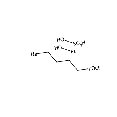 CCCCCCCCCCC[CH2][Na].CCO.O=S(=O)(O)O